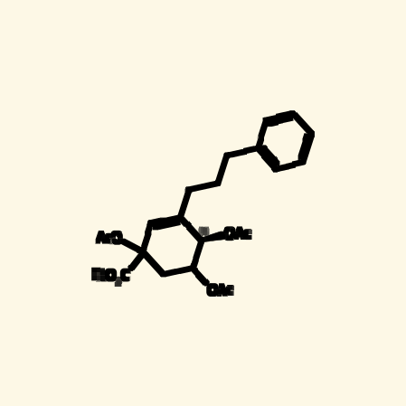 CCOC(=O)C1(OC(C)=O)C=C(CCCc2ccccc2)[C@@H](OC(C)=O)C(OC(C)=O)C1